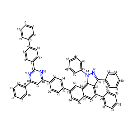 c1ccc(-c2ccc(-c3nc(-c4ccccc4)cc(-c4ccc(-c5ccc6cc(-c7ccccc7)c7c(-c8ccccc8)nn(-c8ccccc8)c7c6c5)cc4)n3)cc2)cc1